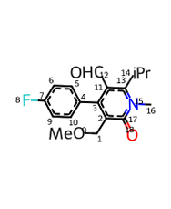 COCc1c(-c2ccc(F)cc2)c(C=O)c(C(C)C)n(C)c1=O